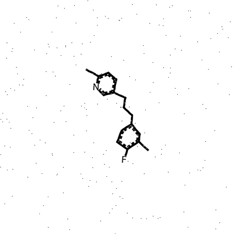 Cc1ccc(C[CH]Cc2ccc(F)c(C)c2)cn1